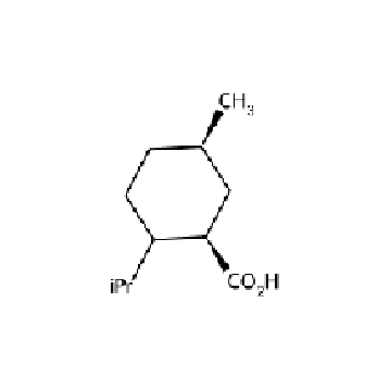 CC(C)C1CC[C@@H](C)C[C@H]1C(=O)O